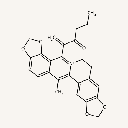 C=C(C(=O)CCC)c1c2c3c(ccc2c(C)c2[n+]1CCc1cc4c(cc1-2)OCO4)OCO3